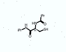 CC(C)NC(=O)[C@H](CS)NC(=O)C(C)C